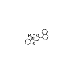 CN1/C(=C\C(=O)c2cccc3ccccc23)Sc2ccccc21